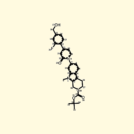 Cn1c2c(c3ccc(-n4ccc(-c5ccc(CO)cc5F)cc4=O)cc31)CCN(C(=O)OC(C)(C)C)C2